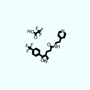 O=C(CCc1cnoc1-c1ccc(C(F)(F)F)cc1)NCCc1ccncc1.O=C(O)C(F)(F)F